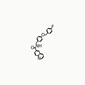 O=C(NCc1ccc(OCc2ccc(F)cc2)cc1)c1ccc2ncccc2c1